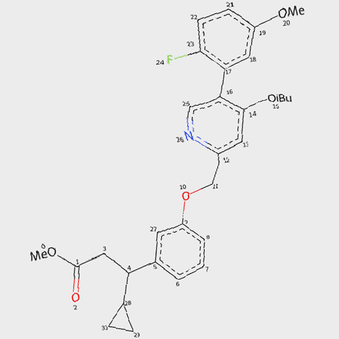 COC(=O)CC(c1cccc(OCc2cc(OCC(C)C)c(-c3cc(OC)ccc3F)cn2)c1)C1CC1